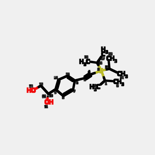 CC(C)S(C#Cc1ccc([C@H](O)CO)cc1)(C(C)C)C(C)C